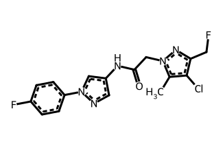 Cc1c(Cl)c(CF)nn1CC(=O)Nc1cnn(-c2ccc(F)cc2)c1